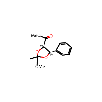 COC(=O)[C@@H]1OC(C)(OC)O[C@H]1c1ccccc1